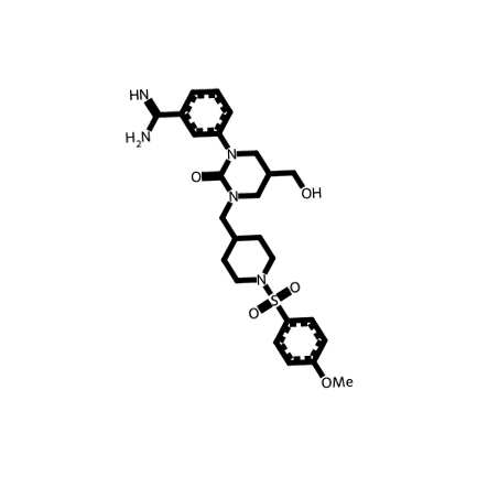 COc1ccc(S(=O)(=O)N2CCC(CN3CC(CO)CN(c4cccc(C(=N)N)c4)C3=O)CC2)cc1